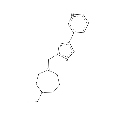 CCN1CCCN(Cc2cc(-c3cccnc3)cs2)CC1